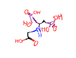 O=C(O)CNC(CP(=O)(O)O)P(=O)(O)O